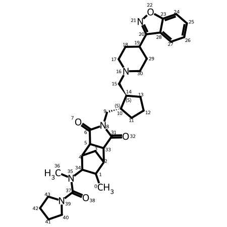 CC1C2CC(C3C(=O)N(C[C@H]4CCC[C@@H]4CN4CCC(c5noc6ccccc56)CC4)C(=O)C23)C1N(C)C(=O)N1CCCC1